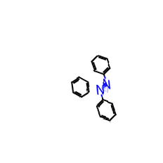 c1ccc(/N=N/c2ccccc2)cc1.c1ccccc1